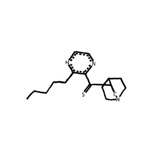 CCCCCc1nccnc1C(=S)C1CN2CCC1CC2